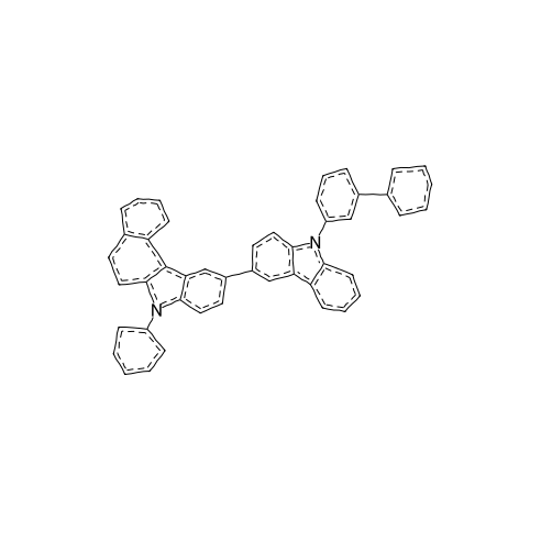 c1ccc(-c2cccc(-n3c4ccccc4c4cc(-c5ccc6c(c5)c5c7ccccc7ccc5n6-c5ccccc5)ccc43)c2)cc1